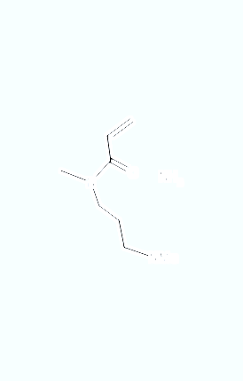 C=CC(=O)N(C)CCCNC.N